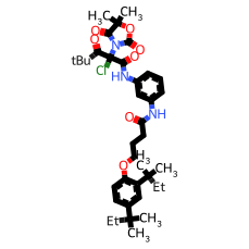 CCC(C)(C)c1ccc(OCCCC(=O)Nc2cccc(NC(=O)C(Cl)(C(=O)C(C)(C)C)N3C(=O)OC(C)(C)C3=O)c2)c(C(C)(C)CC)c1